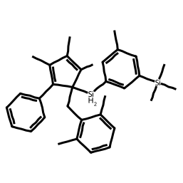 CC1=C(C)C(Cc2c(C)cccc2C)([SiH2]c2cc(C)cc([Si](C)(C)C)c2)C(c2ccccc2)=C1C